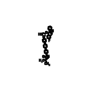 CCC(C)n1cnn(-c2ccc(N3CCN(c4ccc(OC[C@H](CO)O[C@H](c5ccc(F)cc5F)n5nnc6ccccc65)cc4)CC3)cc2)c1=O